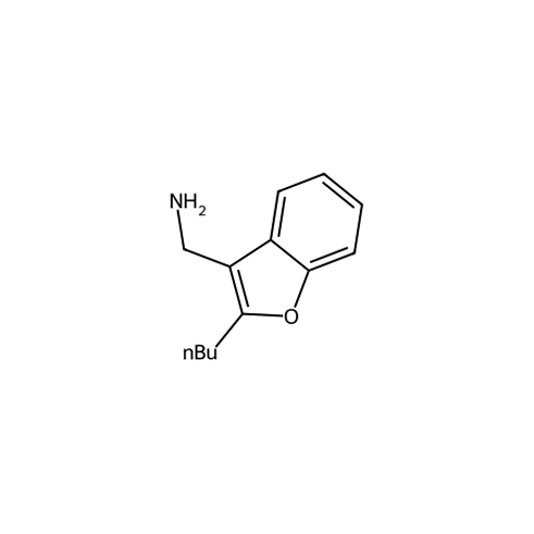 CCCCc1oc2ccccc2c1CN